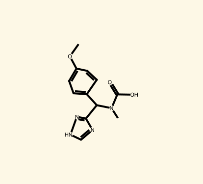 COc1ccc(C(c2nc[nH]n2)N(C)C(=O)O)cc1